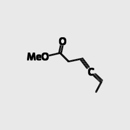 CC=C=CCC(=O)OC